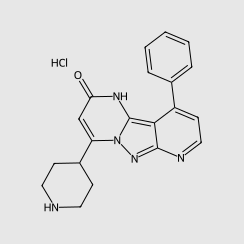 Cl.O=c1cc(C2CCNCC2)n2nc3nccc(-c4ccccc4)c3c2[nH]1